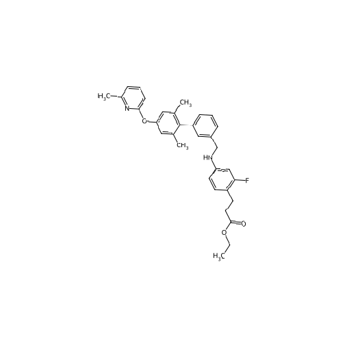 CCOC(=O)CCc1ccc(NCc2cccc(-c3c(C)cc(Oc4cccc(C)n4)cc3C)c2)cc1F